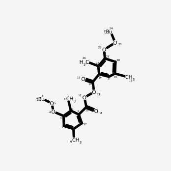 Cc1cc(OOC(C)(C)C)c(C)c(C(=O)OOC(=O)c2cc(C)cc(OOC(C)(C)C)c2C)c1